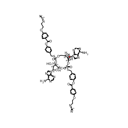 [N-]=[N+]=NCCOc1ccc(C(=O)Oc2ccc(CS[P@]3(=O)OC[C@H]4O[C@@H](n5cnc6c(N)ncnc65)[C@H](O)[C@@H]4O[P@](=O)(SCc4ccc(OC(=O)c5ccc(OCCN=[N+]=[N-])cc5)cc4)OC[C@H]4O[C@@H](n5cnc6c(N)ncnc65)[C@H](O3)[C@@H]4O)cc2)cc1